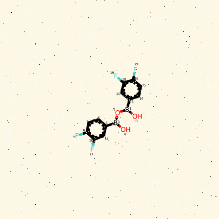 OB(OB(O)c1ccc(F)c(F)c1)c1ccc(F)c(F)c1